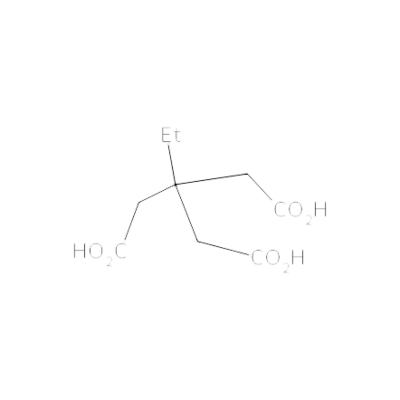 [CH2]CC(CC(=O)O)(CC(=O)O)CC(=O)O